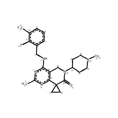 Cc1nc(NCc2cccc(C(F)(F)F)c2F)c2c(n1)C1(CC1)C(=O)N(C1CCN(C)CC1)C2